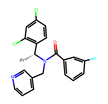 CC(C)[C@H](c1ccc(Cl)cc1Cl)N(Cc1cccnc1)C(=O)c1cccc(F)c1